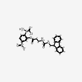 CN(C(=O)Cl)c1ccc([N+](=O)[O-])cc1OC(=O)CCNC(=O)OCC1c2ccccc2-c2ccccc21